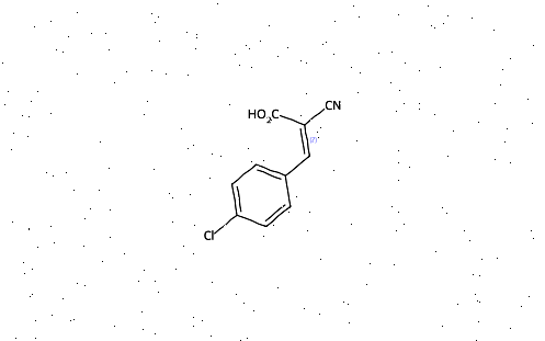 N#C/C(=C/c1ccc(Cl)cc1)C(=O)O